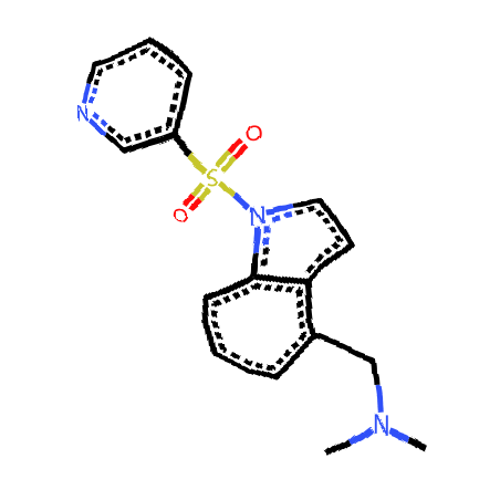 CN(C)Cc1cccc2c1ccn2S(=O)(=O)c1cccnc1